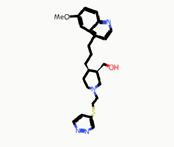 COc1ccc2nccc(CCC[C@@H]3CCN(CCSc4ccnnc4)C[C@@H]3CO)c2c1